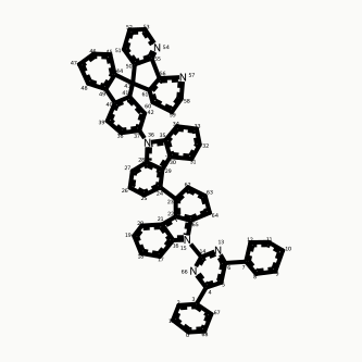 c1ccc(-c2cc(-c3ccccc3)nc(-n3c4ccccc4c4c(-c5cccc6c5c5ccccc5n6-c5ccc6c(c5)C5(c7ccccc7-6)c6cccnc6-c6ncccc65)cccc43)n2)cc1